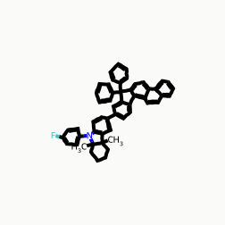 CC12CCCCC1(C)N(c1ccc(F)cc1)c1ccc(-c3ccc4c(c3)C(c3ccccc3)(c3ccccc3)c3ccc5c(ccc6ccccc65)c3-4)cc12